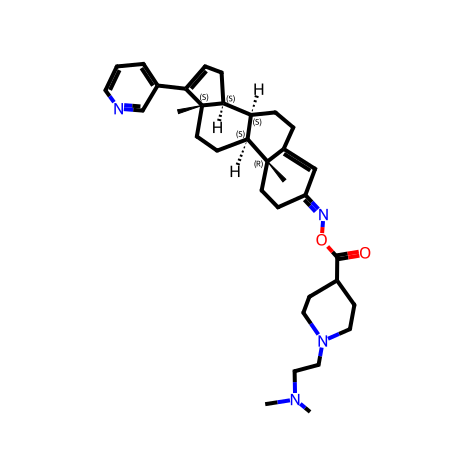 CN(C)CCN1CCC(C(=O)ON=C2C=C3CC[C@H]4[C@H](CC[C@]5(C)C(c6cccnc6)=CC[C@@H]45)[C@@]3(C)CC2)CC1